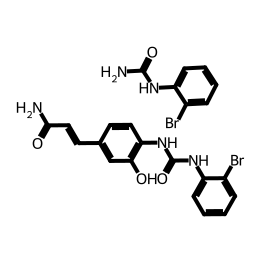 NC(=O)/C=C/c1ccc(NC(=O)Nc2ccccc2Br)c(O)c1.NC(=O)Nc1ccccc1Br